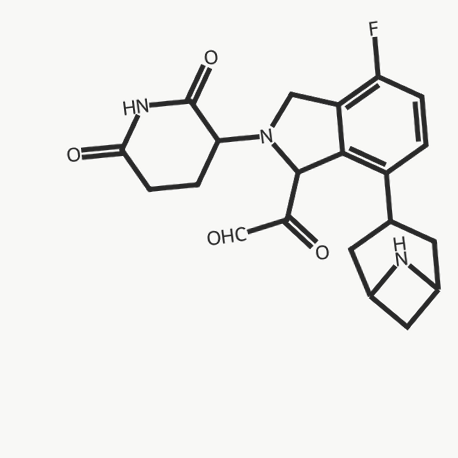 O=CC(=O)C1c2c(C3CC4CC(C3)N4)ccc(F)c2CN1C1CCC(=O)NC1=O